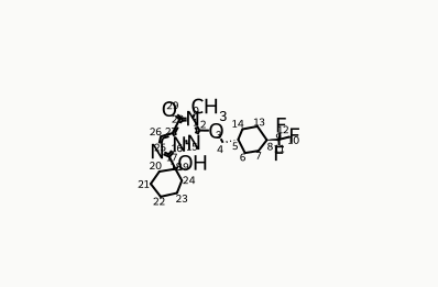 Cn1c(OC[C@H]2CC[C@H](C(F)(F)F)CC2)nn2c(C3(O)CCCCC3)ncc2c1=O